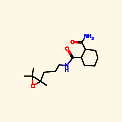 CC1(C)OC1(C)CCCNC(=O)C1CCCCC1C(N)=O